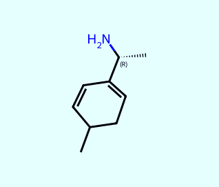 CC1C=CC([C@@H](C)N)=CC1